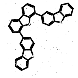 c1ccc2c(c1)sc1ccc(-c3cccc4c3oc3c(-c5ccc6sc7ccccc7c6c5)cccc34)cc12